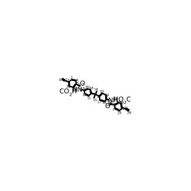 C#Cc1ccc(C(=O)Nc2ccc(C(C)(C)c3ccc(NC(=O)c4ccc(C#C)cc4C(=O)O)cc3)cc2)c(C(=O)O)c1